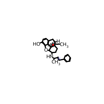 CC(/C=C/c1ccccc1)NC1CC[C@@]2(O)[C@H]3Cc4ccc(O)c5c4[C@@]2(CCN3C)C1O5